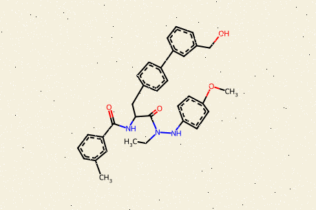 CCN(Nc1ccc(OC)cc1)C(=O)C(Cc1ccc(-c2cccc(CO)c2)cc1)NC(=O)c1cccc(C)c1